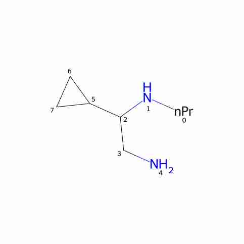 CCCNC(CN)C1CC1